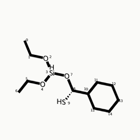 CCO[SiH](OCC)O[C@@H](S)C1CCCCC1